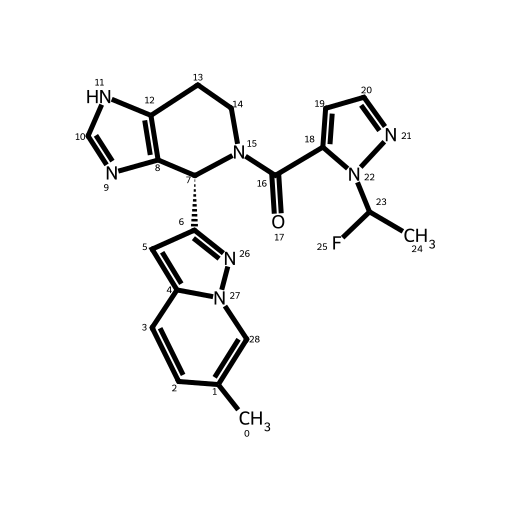 Cc1ccc2cc([C@@H]3c4nc[nH]c4CCN3C(=O)c3ccnn3C(C)F)nn2c1